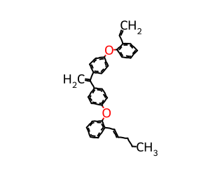 C=Cc1ccccc1Oc1ccc(C(=C)c2ccc(Oc3ccccc3/C=C/CCC)cc2)cc1